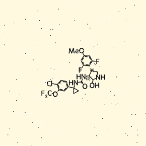 COc1cc(F)c([C@@H]2CNC(O)[C@H]2NC(=O)NC2(c3ccc(Cl)c(OC(F)(F)F)c3)CC2)c(F)c1